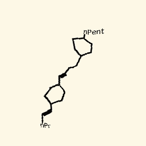 CCCC=CC1CCC(C=CCCC2CCC(CCCCC)CC2)CC1